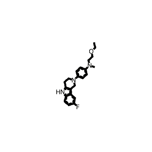 CCOCCN(C)c1ccc(N2CCc3[nH]c4ccc(F)cc4c3C2)cc1